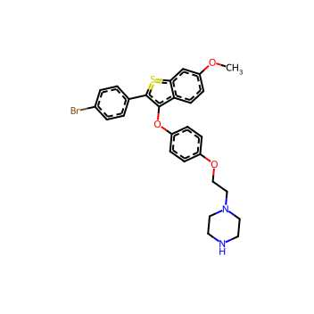 COc1ccc2c(Oc3ccc(OCCN4CCNCC4)cc3)c(-c3ccc(Br)cc3)sc2c1